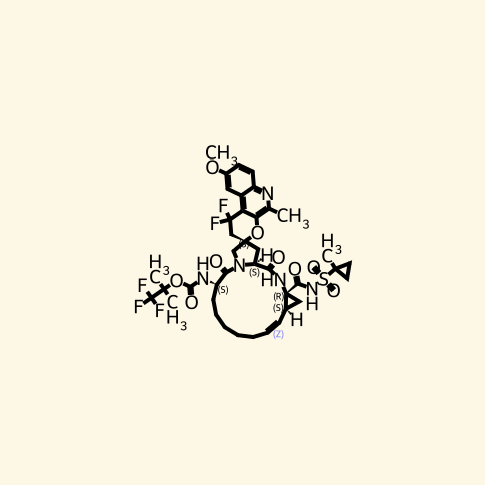 COc1ccc2nc(C)c3c(c2c1)C(F)(F)C[C@]1(C[C@H]2C(=O)N[C@]4(C(=O)NS(=O)(=O)C5(C)CC5)C[C@H]4/C=C\CCCCC[C@H](NC(=O)OC(C)(C)C(F)(F)F)C(=O)N2C1)O3